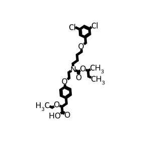 CCOC(Cc1ccc(OCCN(CCCCOCc2cc(Cl)cc(Cl)c2)C(=O)OC(C)CC)cc1)C(=O)O